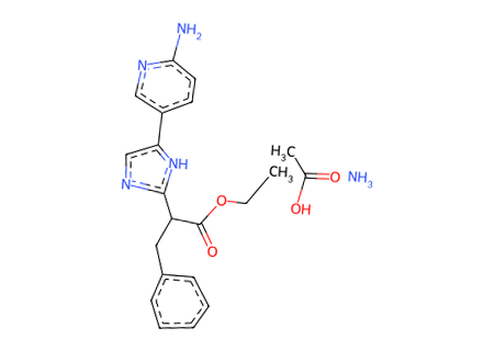 CC(=O)O.CCOC(=O)C(Cc1ccccc1)c1ncc(-c2ccc(N)nc2)[nH]1.N